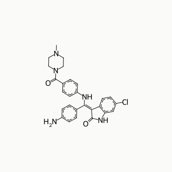 CN1CCN(C(=O)c2ccc(NC(=C3C(=O)Nc4cc(Cl)ccc43)c3ccc(N)cc3)cc2)CC1